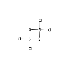 Cl[Si]1(Cl)S[Si](Cl)(Cl)S1